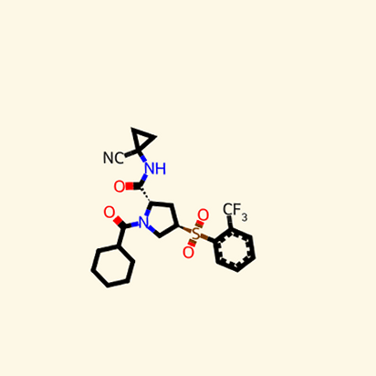 N#CC1(NC(=O)[C@@H]2C[C@@H](S(=O)(=O)c3ccccc3C(F)(F)F)CN2C(=O)C2CCCCC2)CC1